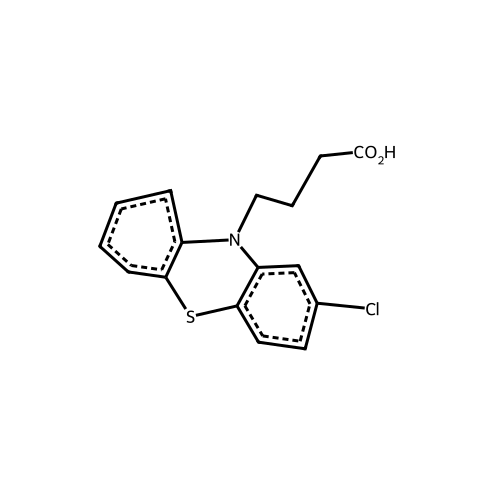 O=C(O)CCCN1c2ccccc2Sc2ccc(Cl)cc21